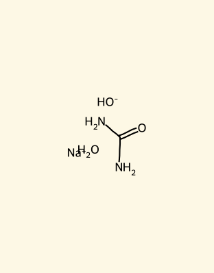 NC(N)=O.O.[Na+].[OH-]